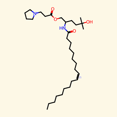 CCCCCCCC/C=C\CCCCCCCC(=O)NC(CCC(C)(C)O)COC(=O)CCN1CCCC1